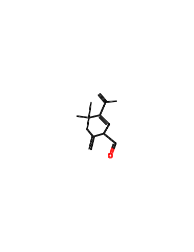 C=C(C)C1=CC(C=O)C(=C)CC1(C)C